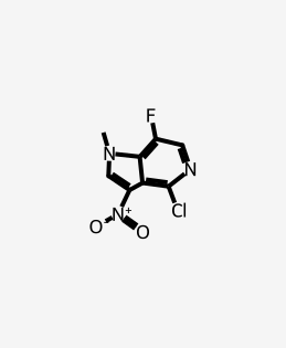 Cn1cc([N+](=O)[O-])c2c(Cl)ncc(F)c21